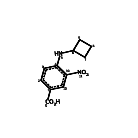 O=C(O)c1ccc(NC2CCC2)c([N+](=O)[O-])c1